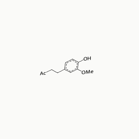 COc1cc(CC[13C](C)=O)ccc1O